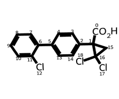 O=C(O)C1(c2ccc(-c3ccccc3Cl)cc2)CC1(Cl)Cl